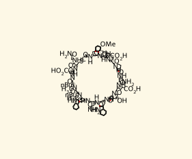 CCCC[C@H]1C(=O)N(C)[C@@H](CCCC)C(=O)N[C@@H](CCC(=O)O)C(=O)N[C@H](C(=O)NCC(N)=O)CSCC(=O)N[C@@H](Cc2ccc(OC)cc2)C(=O)N(C)[C@@H](C)C(=O)N[C@@H](CC(=O)O)C(=O)N2CCC[C@H]2C(=O)N[C@@H](CN)C(=O)N[C@@H](CCC(=O)O)C(=O)N2C[C@H](O)C[C@H]2C(=O)N[C@@H](Cc2c[nH]c3ccccc23)C(=O)N[C@@H](CCN)C(=O)N[C@@H](Cc2c[nH]c3ccccc23)C(=O)N1C